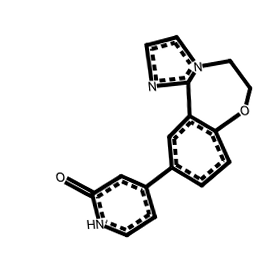 O=c1cc(-c2ccc3c(c2)-c2nccn2CCO3)cc[nH]1